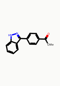 COC(=O)c1ccc(-c2n[nH]c3ccccc23)cc1